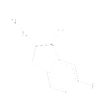 [N-]=[N+]=C1Cc2ccc(Br)cc2C1=O